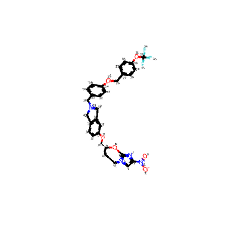 O=[N+]([O-])c1cn2c(n1)O[C@@H](COc1ccc3c(c1)CN(Cc1ccc(OCc4ccc(OC(F)(F)F)cc4)cc1)C3)CC2